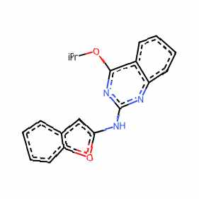 CC(C)Oc1nc(Nc2cc3ccccc3o2)nc2ccccc12